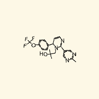 Cc1ncc(C2=NC=CC(c3ccc(OC(F)(F)F)cc3)N2CC(C)(C)O)cn1